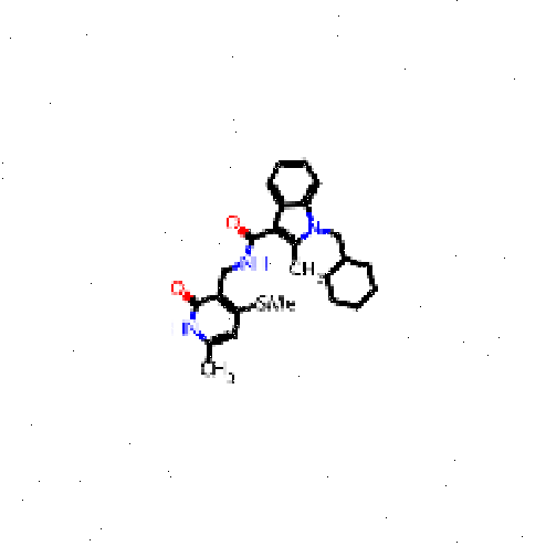 CSc1cc(C)[nH]c(=O)c1CNC(=O)c1c(C)n(CC2CCCCC2)c2ccccc12